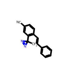 N#Cc1ccc(C=Cc2ccccc2)c(C2(C(F)(F)F)N=N2)c1